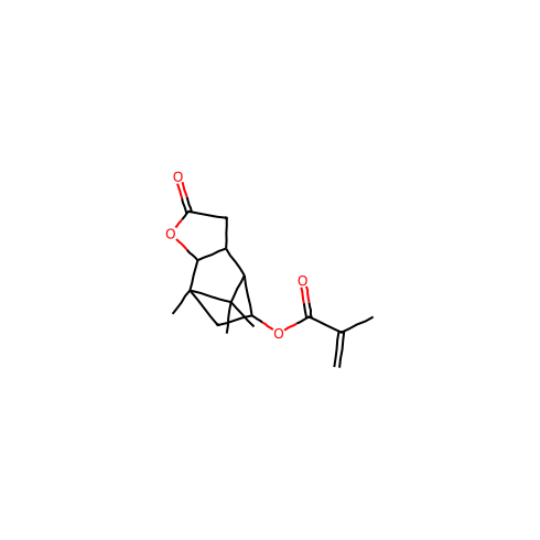 C=C(C)C(=O)OC1CC2(C)C3OC(=O)CC3C1C2(C)C